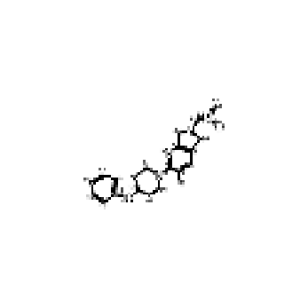 Cc1cc2c(nc1N1CCC(Oc3ccccc3)CC1)CN(C[SH](=O)=O)C2